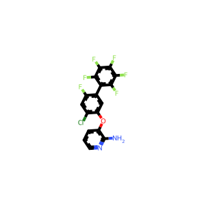 Nc1ncccc1Oc1cc(-c2c(F)c(F)c(F)c(F)c2F)c(F)cc1Cl